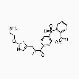 CN(Cc1cnc(OCCN)s1)C(=O)c1ccc2c(c1)NC(=O)c1ccccc1S2(=O)=O